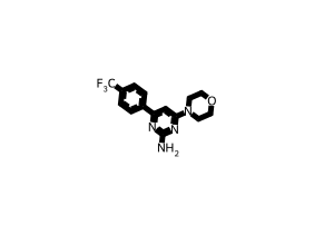 Nc1nc(-c2ccc(C(F)(F)F)cc2)cc(N2CCOCC2)n1